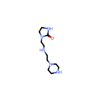 O=C1NCCN1CCNCCN1CCNCC1